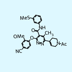 COc1cc(C#N)ccc1Oc1nnc(C2=CCN(C(C)=O)CC2)c(C)c1C(=O)Nc1cccc(SC)c1